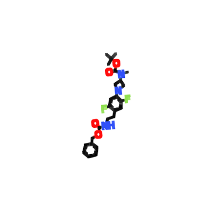 CN(C(=O)OC(C)(C)C)C1CN(c2cc(F)c(CCNC(=O)OCc3ccccc3)cc2F)C1